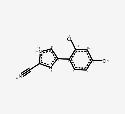 N#Cc1nc(-c2ccc(Cl)cc2Cl)c[nH]1